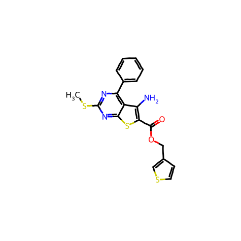 CSc1nc(-c2ccccc2)c2c(N)c(C(=O)OCc3ccsc3)sc2n1